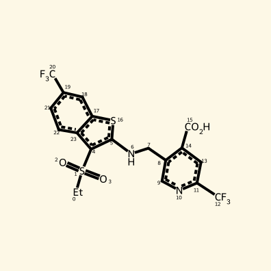 CCS(=O)(=O)c1c(NCc2cnc(C(F)(F)F)cc2C(=O)O)sc2cc(C(F)(F)F)ccc12